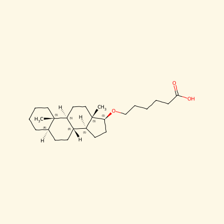 C[C@]12CCCC[C@@H]1CC[C@@H]1[C@@H]2CC[C@]2(C)[C@@H](OCCCCCC(=O)O)CC[C@@H]12